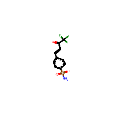 NS(=O)(=O)c1ccc(C=CC(=O)C(F)(F)F)cc1